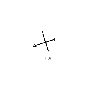 Br.F[C](F)(F)[Zn]